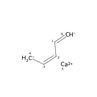 [CH-]=C/C=C\[CH2-].[Ca+2]